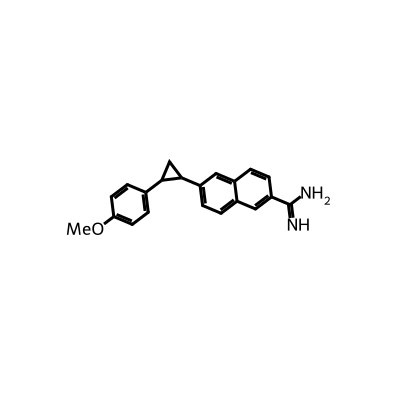 COc1ccc(C2CC2c2ccc3cc(C(=N)N)ccc3c2)cc1